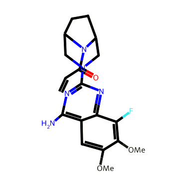 C=CC(=O)N1C2CCC1CN(c1nc(N)c3cc(OC)c(OC)c(F)c3n1)C2